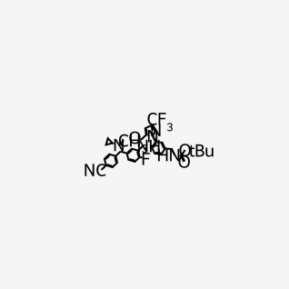 CN(C1CC1)C(c1ccc(C#N)cc1)c1ccc(F)c(NC(=O)c2cc(C(F)(F)F)nn2-c2cccc(CNC(=O)OC(C)(C)C)c2)c1